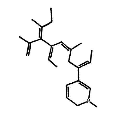 C=C(C)C(=C(C)CC)C(/C=C(/C)C/C(=C\C)C1=CN(C)CC=C1)=C/C